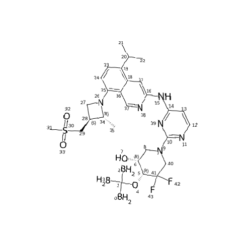 BC(B)(B)O[C@@H]1[C@H](O)CN(c2nccc(Nc3cc4c(C(C)C)ccc(N5C[C@H](CS(C)(=O)=O)[C@H]5C)c4cn3)n2)CC1(F)F